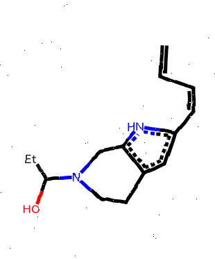 C=C/C=C\c1cc2c([nH]1)CN(C(O)CC)CC2